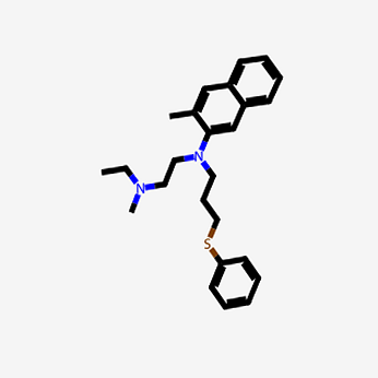 CCN(C)CCN(CCCSc1ccccc1)c1cc2ccccc2cc1C